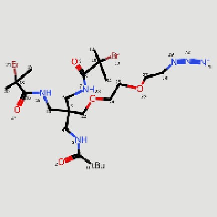 CC(C)(C)C(=O)NCC(CNC(=O)C(C)(C)Br)(CNC(=O)C(C)(C)Br)COCCOCCN=[N+]=[N-]